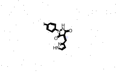 O=C1NN(c2ccc(I)cc2)C(=O)/C1=C\c1cc[nH]n1